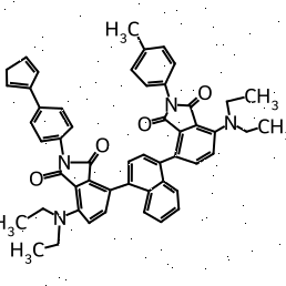 CCN(CC)c1ccc(-c2ccc(-c3ccc(N(CC)CC)c4c3C(=O)N(c3ccc(C5=CCC=C5)cc3)C4=O)c3ccccc23)c2c1C(=O)N(c1ccc(C)cc1)C2=O